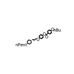 CCCCC[C@H]1CC[C@H](C=CCOc2ccc(OC(=O)c3ccc(OCCCC)cc3)cc2)CC1